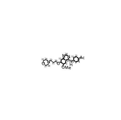 COc1cc2c(Nc3ccc(C(C)=O)cc3)ncnc2cc1OCCCN1CCOCC1